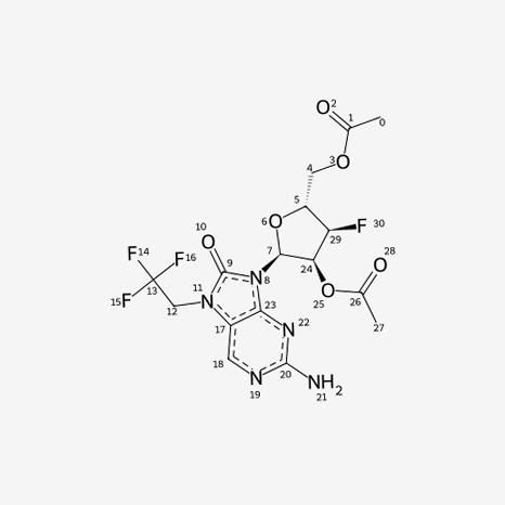 CC(=O)OC[C@H]1O[C@H](n2c(=O)n(CC(F)(F)F)c3cnc(N)nc32)[C@H](OC(C)=O)[C@@H]1F